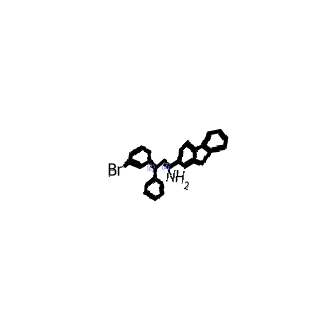 N/C(=C\C(=C1\C=C(Br)C=CC1)c1ccccc1)c1ccc2c(c1)Cc1ccccc1-2